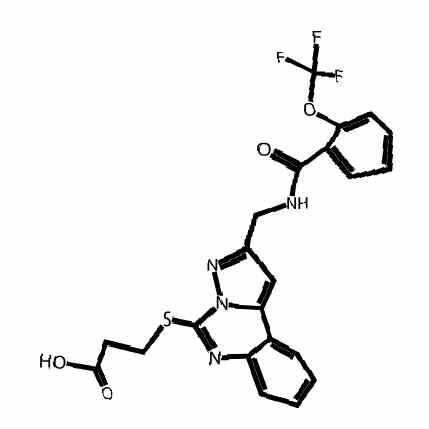 O=C(O)CCSc1nc2ccccc2c2cc(CNC(=O)c3ccccc3OC(F)(F)F)nn12